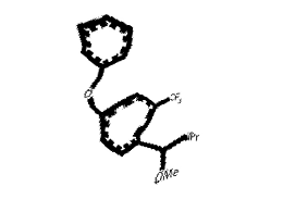 COC(c1ccc(Oc2ccccc2)cc1C(F)(F)F)C(C)C